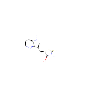 O=C1NC(=S)SC1=Cc1c[nH]c2cccnc12